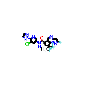 C[C@@]1(C(F)(F)F)C[C@@H](C(=O)Nc2cnc(-n3nccn3)c(Cl)c2)c2cnc3cc(F)nn3c21